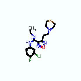 CC/N=C(\Nc1ccc(F)c(Cl)c1)c1nonc1CCN1CCSCC1